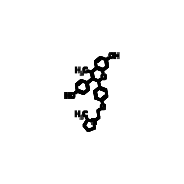 CC1=C(c2ccc(O)cc2)C(c2ccc(OCCN3CCC[C@H]3C)cc2)Oc2cc(O)ccc21